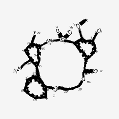 COc1c(Cl)cc2cc1S(=O)(=O)Nc1cc(c(F)cc1F)-c1ccccc1OCCOC2=O